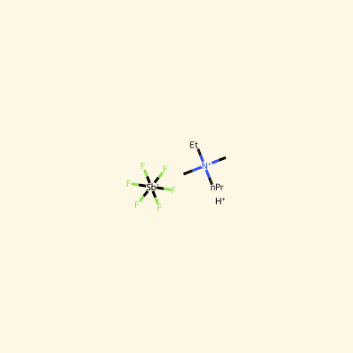 CCC[N+](C)(C)CC.[F][Sb-]([F])([F])([F])([F])[F].[H+]